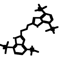 C[Si](C)(C)c1ccc([Si](C)(C)C)c2c1[CH]C(CCCC1=Cc3c([Si](C)(C)C)ccc([Si](C)(C)C)c3[CH]1)=C2